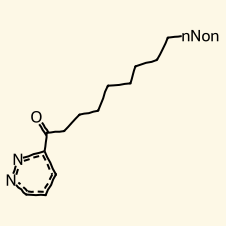 CCCCCCCCCCCCCCCCCC(=O)c1cccnn1